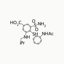 CC(=O)Nc1ccccc1.CC(C)CNc1cc(C(=O)O)cc(S(N)(=O)=O)c1S